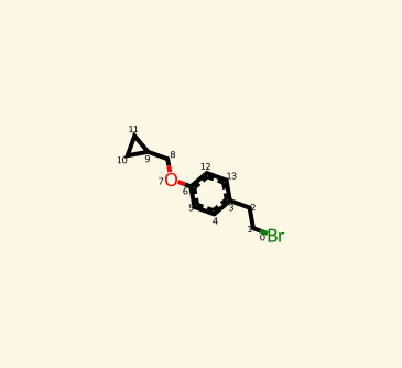 BrCCc1ccc(OCC2CC2)cc1